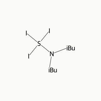 CCC(C)N(C(C)CC)S(I)(I)I